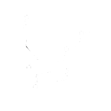 COCOc1cccc2c1C[C@H](CCC=O)OC2=O